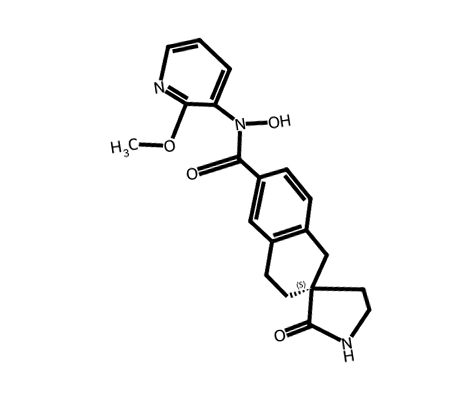 COc1ncccc1N(O)C(=O)c1ccc2c(c1)CC[C@@]1(CCNC1=O)C2